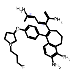 C=C(P)/C(=C\C=C(/C)N)C1=C(c2ccc(OC3CCN(CCCF)C3)cc2)c2ccc(N)c(P)c2CCC1